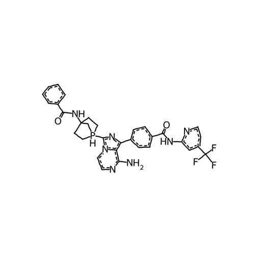 Nc1nccn2c([PH]34CCC(NC(=O)c5ccccc5)(CC3)C4)nc(-c3ccc(C(=O)Nc4cc(C(F)(F)F)ccn4)cc3)c12